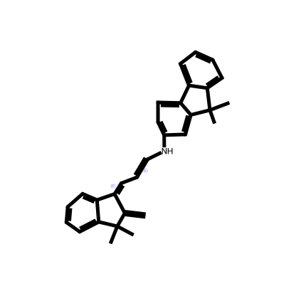 C=C1/C(=C\C=C\Nc2ccc3c(c2)C(C)(C)c2ccccc2-3)c2ccccc2C1(C)C